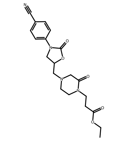 CCOC(=O)CCN1CCN(CC2CN(c3ccc(C#N)cc3)C(=O)O2)CC1=O